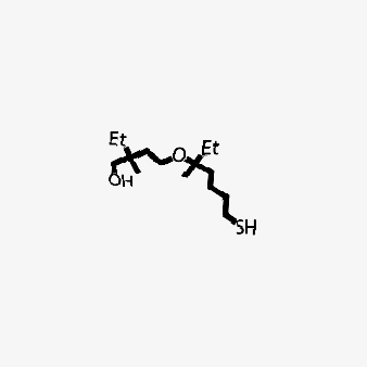 CCC(C)(CO)CCOC(C)(CC)CCCCS